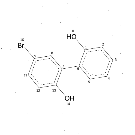 Oc1ccccc1-c1cc(Br)ccc1O